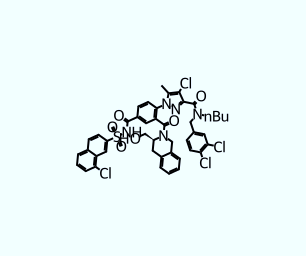 CCCCN(Cc1ccc(Cl)c(Cl)c1)C(=O)c1nn(-c2ccc(C(=O)NS(=O)(=O)c3ccc4cccc(Cl)c4c3)cc2C(=O)N2Cc3ccccc3C[C@H]2CO)c(C)c1Cl